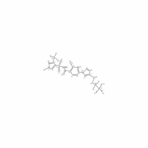 Cn1cc(S(=O)(=O)NC(=O)c2ccc(-n3ccc(OCC(C)(C)C(F)(F)F)n3)nc2Cl)c(S(C)(C)C)n1